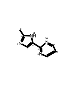 Cc1n[c]c(-c2ncccn2)[nH]1